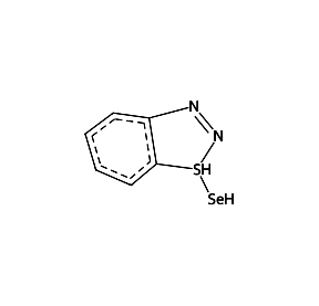 [SeH][SH]1N=Nc2ccccc21